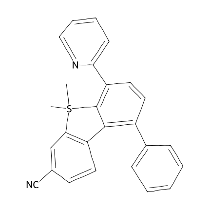 CS1(C)c2cc(C#N)ccc2-c2c(-c3ccccc3)ccc(-c3ccccn3)c21